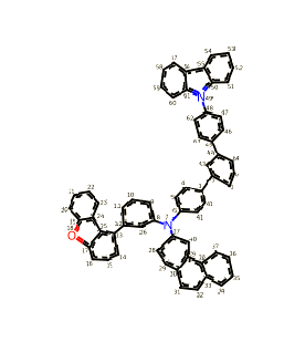 c1cc(-c2ccc(N(c3cccc(-c4cccc5oc6ccccc6c45)c3)c3ccc4ccc5ccccc5c4c3)cc2)cc(-c2ccc(-n3c4ccccc4c4ccccc43)cc2)c1